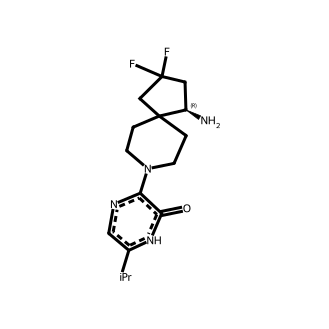 CC(C)c1cnc(N2CCC3(CC2)CC(F)(F)C[C@H]3N)c(=O)[nH]1